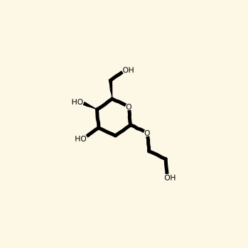 OCCOC1CC(O)[C@@H](O)[C@@H](CO)O1